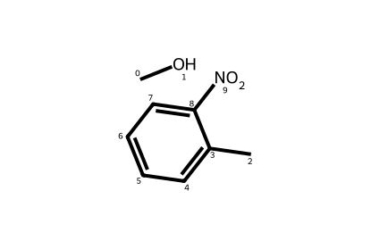 CO.Cc1ccccc1[N+](=O)[O-]